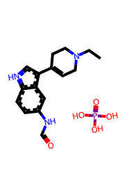 CCN1CC=C(c2c[nH]c3ccc(NC=O)cc23)CC1.O=P(O)(O)O